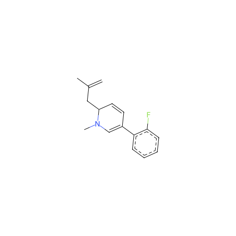 C=C(C)CC1C=CC(c2ccccc2F)=CN1C